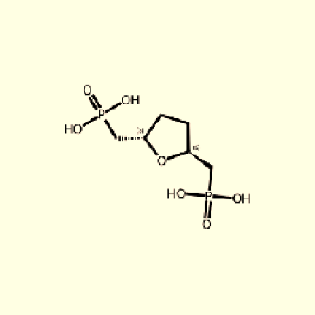 O=P(O)(O)C[C@@H]1CC[C@@H](CP(=O)(O)O)O1